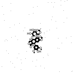 COc1cc([C@@H]2c3cc4c(cc3[C@@H](OC3O[C@@H]5CO[C@@H](C)O[C@H]5[C@H](O)[C@H]3O)[C@H]3COC(=O)[C@H]23)OCO4)cc(OC)c1O